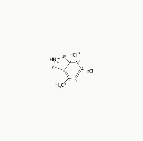 Cc1cc(Cl)nc2c1CNC2.Cl